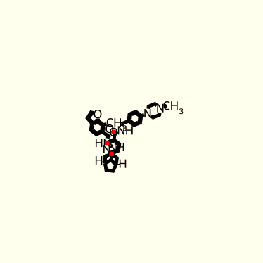 Cc1c(C(=O)NN[C@H]2C[C@H]3CC[C@@H](C2)C3c2ccc(C(=O)NCc3ccc(N4CCN(C)CC4)cc3)cn2)ccc2ccoc12